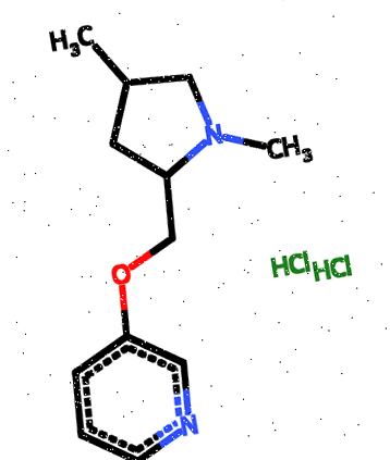 CC1CC(COc2cccnc2)N(C)C1.Cl.Cl